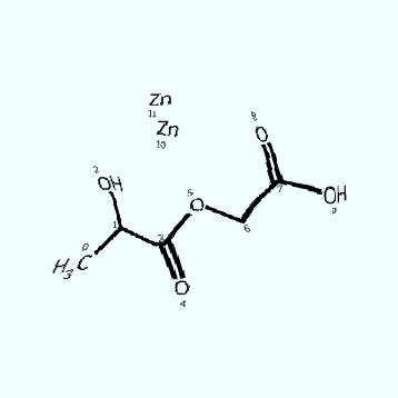 CC(O)C(=O)OCC(=O)O.[Zn].[Zn]